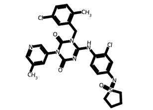 Cc1cncc(-n2c(=O)nc(Nc3ccc(N=S4(=O)CCCC4)cc3Cl)n(Cc3cc(Cl)ccc3C)c2=O)c1